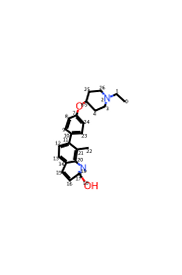 CCN1CCC(Oc2ccc(-c3ccc4ccc(O)nc4c3C)cc2)CC1